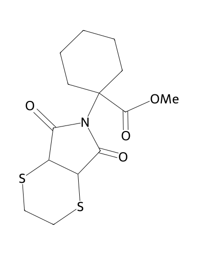 COC(=O)C1(N2C(=O)C3SCCSC3C2=O)CCCCC1